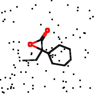 CCC1(C2CCCCC2)OC1=O